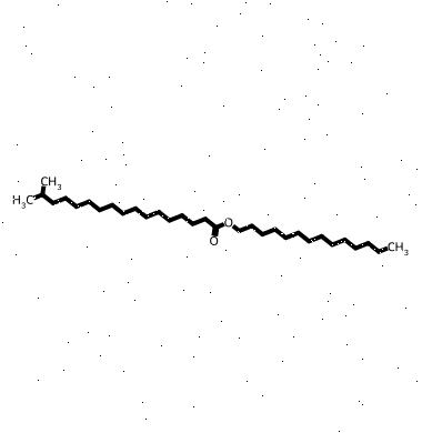 CCCCCCCCCCCCCCOC(=O)CCCCCCCCCCCCCCC(C)C